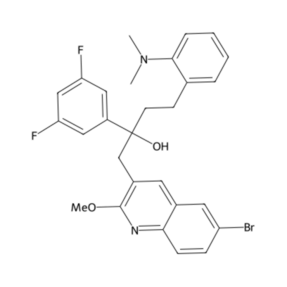 COc1nc2ccc(Br)cc2cc1CC(O)(CCc1ccccc1N(C)C)c1cc(F)cc(F)c1